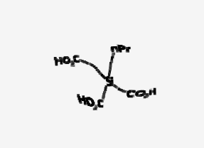 CCC[Si](C(=O)O)(C(=O)O)C(=O)O